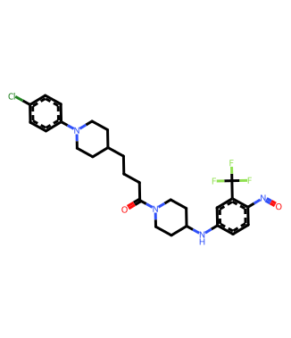 O=Nc1ccc(NC2CCN(C(=O)CCCC3CCN(c4ccc(Cl)cc4)CC3)CC2)cc1C(F)(F)F